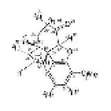 [2H]c1c([2H])c(OC)c2c3c1C[C@@]1([2H])N(C)CC[C@@]34C([2H])(O2)C(=O)C([2H])([2H])C[C@@]14[2H]